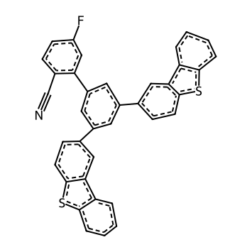 N#Cc1ccc(F)cc1-c1cc(-c2ccc3sc4ccccc4c3c2)cc(-c2ccc3sc4ccccc4c3c2)c1